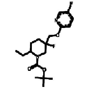 CCC1CCC(F)(COc2ccc(F)cn2)CN1C(=O)OC(C)(C)C